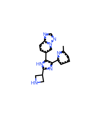 Cc1cccc(-c2nc(C3CNC3)[nH]c2-c2ccc3ncnn3c2)n1